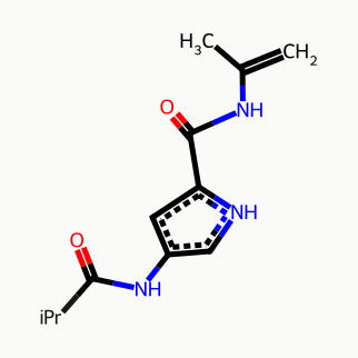 C=C(C)NC(=O)c1cc(NC(=O)C(C)C)c[nH]1